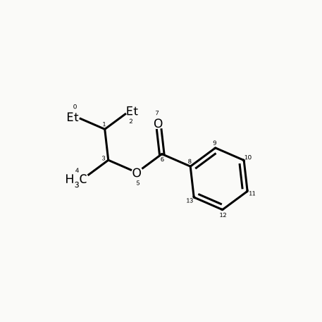 CCC(CC)C(C)OC(=O)c1ccccc1